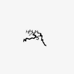 CCCCCCCC(CCN)SC(CCN)CCCCCCC